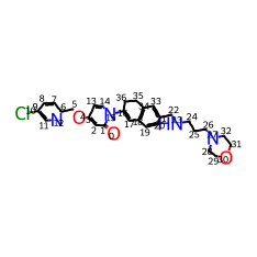 O=c1cc(OCc2ccc(Cl)cn2)ccn1C1=Cc2ccc(CNCCCN3CCOCC3)cc2CC1